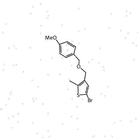 COc1ccc(COCc2cc(Br)sc2C)cc1